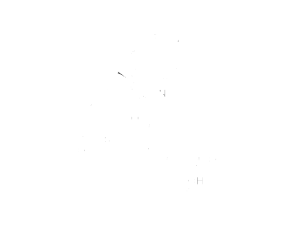 COc1ccc([C@@H]2C[C@@]23C(=O)N(Cc2cccc(C(=O)O)c2)c2ccccc23)cc1